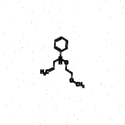 C=CC[SiH](OCCOC)c1ccccc1